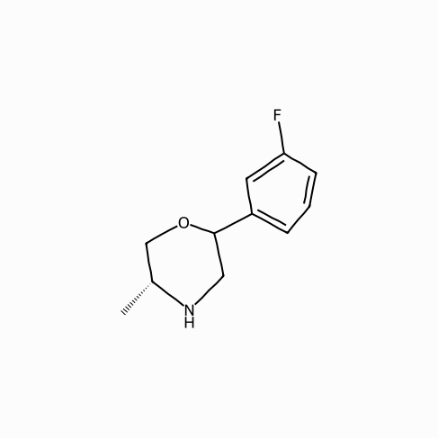 C[C@@H]1COC(c2cccc(F)c2)CN1